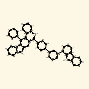 c1ccc(-c2c3c(cc4c(-c5ccc(-c6cccc(-c7cccc8c7oc7ccccc78)c6)cc5)nc5ccccc5c24)oc2ccccc23)cc1